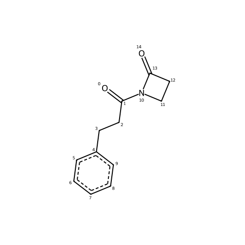 O=C(CCc1ccccc1)N1CCC1=O